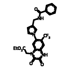 CCOC(=O)Cn1c(=O)c(=O)[nH]c2cc(C(F)(F)F)c(-n3ccc(CNC(=O)c4ccccc4)c3)cc21